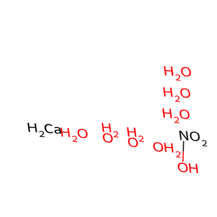 O.O.O.O.O.O.O.O=[N+]([O-])O.[CaH2]